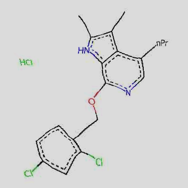 CCCc1cnc(OCc2ccc(Cl)cc2Cl)c2[nH]c(C)c(C)c12.Cl